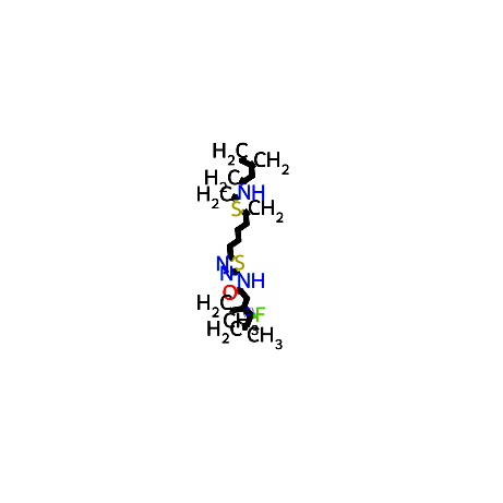 C=CC(=C)CC(=C)NC(=C)SC(=C)CCCCc1nnc(NC(=O)C/C(C(=C)C)=C(\F)C(=C)C)s1